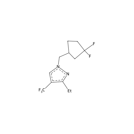 CCc1nn(CC2CCC(F)(F)C2)cc1C(F)(F)F